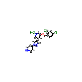 Cl.Clc1ccc(COc2cncc(-c3cnn(C4CCNCC4)c3)c2)c(Cl)c1